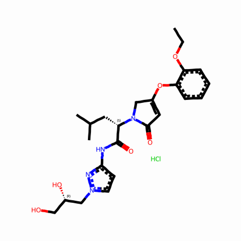 CCOc1ccccc1OC1=CC(=O)N([C@@H](CC(C)C)C(=O)Nc2ccn(C[C@@H](O)CO)n2)C1.Cl